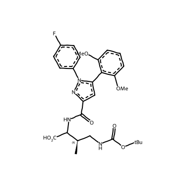 COc1cccc(OC)c1-c1cc(C(=O)NC(C(=O)O)[C@H](C)CNC(=O)OC(C)(C)C)nn1-c1ccc(F)cc1